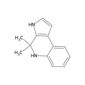 CC1(C)Nc2ccccc2-c2cc[nH]c21